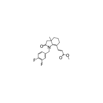 COC(=O)C=CC1=C2N(Cc3ccc(F)c(F)c3)C(=O)CC2(C)CCC1